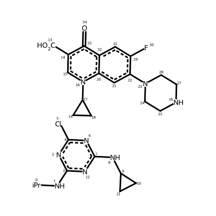 CC(C)Nc1nc(Cl)nc(NC2CC2)n1.O=C(O)c1cn(C2CC2)c2cc(N3CCNCC3)c(F)cc2c1=O